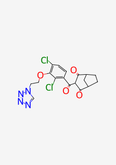 O=C(c1ccc(Cl)c(OCCn2cnnn2)c1Cl)C1C(=O)C2CCC(C2)C1=O